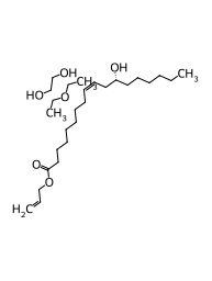 C=CCOC(=O)CCCCCCC/C=C\C[C@H](O)CCCCCC.CCOCC.OCCO